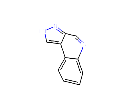 c1ccc2c(c1)ncc1n[nH]cc12